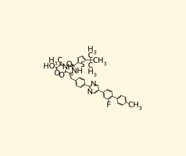 Cc1ccc(-c2ccc(-c3cnc(-c4ccc(C[C@H](NC(=O)c5ccc(C(C)(C)C)s5)C(=O)N[C@H](C)C(=O)O)cc4)nc3)cc2F)cc1